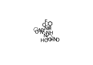 CONCCCc1[nH]c(-c2nn(C3CCCCO3)cc2NC(=O)c2c(F)cccc2F)nc1C(=O)O